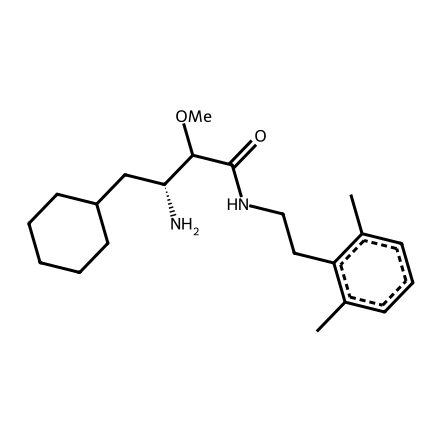 COC(C(=O)NCCc1c(C)cccc1C)[C@H](N)CC1CCCCC1